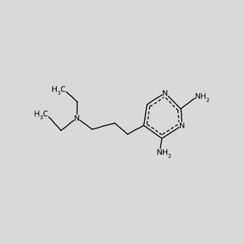 CCN(CC)CCCc1cnc(N)nc1N